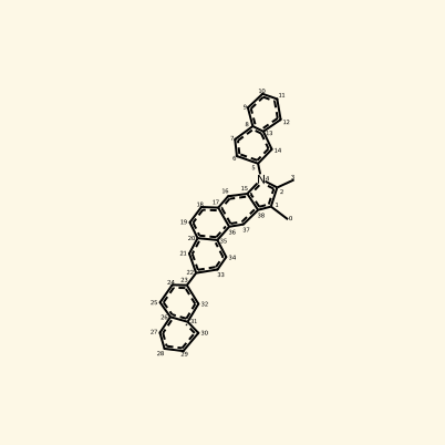 Cc1c(C)n(-c2ccc3ccccc3c2)c2cc3ccc4cc(-c5ccc6ccccc6c5)ccc4c3cc12